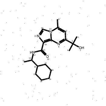 Cc1cc(C(C)(C)O)nc2c(C(=O)NC(C)C3CCCCC3)ncn12